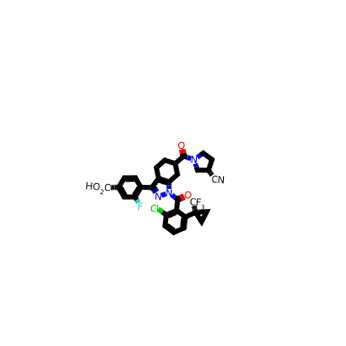 N#CC1CCN(C(=O)C2CCc3c(-c4ccc(C(=O)O)cc4F)nn(C(=O)c4c(Cl)cccc4C4(C(F)(F)F)CC4)c3C2)C1